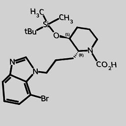 CC(C)(C)[Si](C)(C)O[C@H]1CCCN(C(=O)O)[C@@H]1CCCn1cnc2cccc(Br)c21